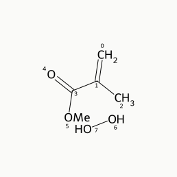 C=C(C)C(=O)OC.OO